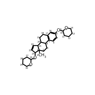 CC12CCC3c4ccc(OC5CCCCO5)cc4CCC3C1C=CC2OC1CCCCO1